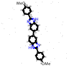 COc1ccc(-c2nc3cc(-c4ccc5[nH]c(-c6ccc(OC)cc6)nc5c4)ccc3[nH]2)cc1